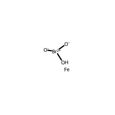 [Fe].[O-][Br+2]([O-])O